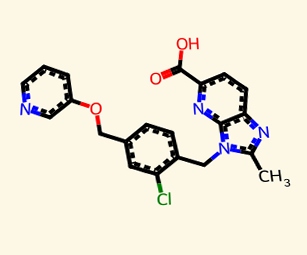 Cc1nc2ccc(C(=O)O)nc2n1Cc1ccc(COc2cccnc2)cc1Cl